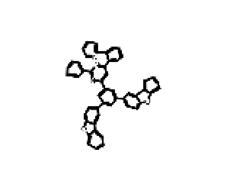 c1ccc(-c2nc(-c3cc(-c4ccc5oc6ccccc6c5c4)cc(-c4ccc5oc6ccccc6c5c4)c3)cc(-c3ccccc3-c3ccccn3)n2)cc1